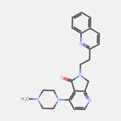 CN1CCN(c2ccnc3c2C(=O)N(CCc2ccc4ccccc4n2)C3)CC1